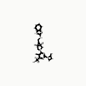 Cc1c(N2C[C@@H]3C(CSc4nc5ccccc5s4)[C@@H]3C2)nc(N2CCC2C)nc1C(F)(F)F